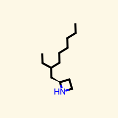 CCCCCCC(CC)C[C@H]1CCN1